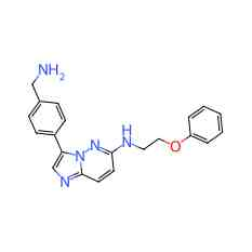 NCc1ccc(-c2cnc3ccc(NCCOc4ccccc4)nn23)cc1